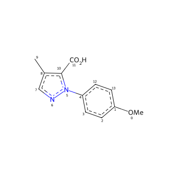 COc1ccc(-n2ncc(C)c2C(=O)O)cc1